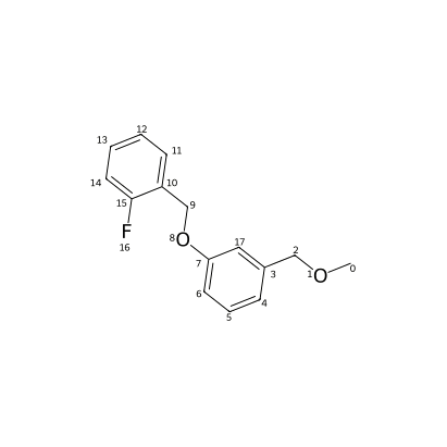 COCc1cccc(OCc2ccccc2F)c1